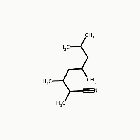 CC(C)CC(C)CC(C)C(C)C#N